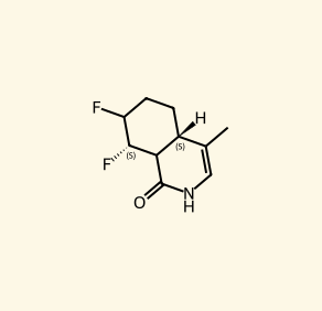 CC1=CNC(=O)C2[C@H](F)C(F)CC[C@H]12